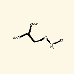 CC[SiH2]OCC(OC(C)=O)OC(C)=O